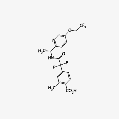 Cc1cc(C(F)(F)C(=O)N[C@H](C)c2ccc(OCC(F)(F)F)cn2)ccc1C(=O)O